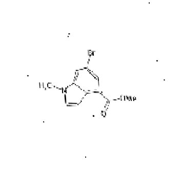 COC(=O)c1cc(Br)cc2c1ccn2C